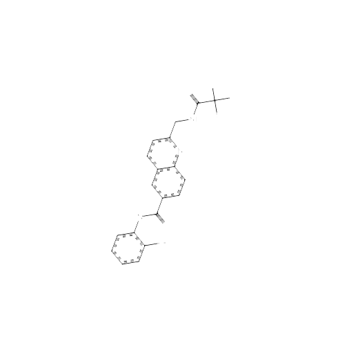 O=C(Nc1ccccc1O)c1ccc2nc(CNC(=O)C(F)(F)F)ccc2c1